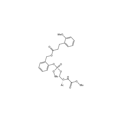 COc1ccccc1CCC(=O)OCc1ccccc1OP(=O)(OC[C@H](NC(=O)OC(C)(C)C)C(C)=O)OC(C)(C)C